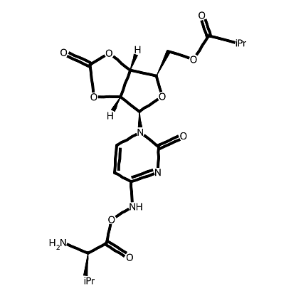 CC(C)C(=O)OC[C@H]1O[C@@H](n2ccc(NOC(=O)[C@H](N)C(C)C)nc2=O)[C@@H]2OC(=O)O[C@@H]21